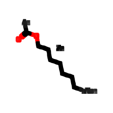 CCCCCCCCCCCCCCCCOC(=O)C(C)=O.[Zn]